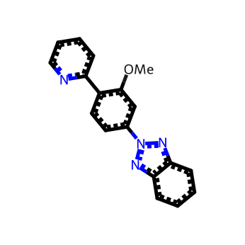 COc1cc(-n2nc3ccccc3n2)ccc1-c1ccccn1